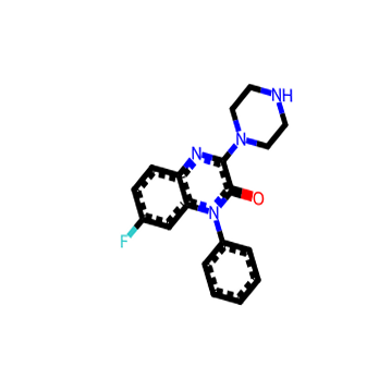 O=c1c(N2CCNCC2)nc2ccc(F)cc2n1-c1ccccc1